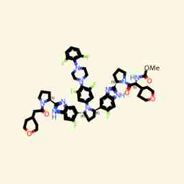 COC(=O)N[C@H](C(=O)N1CCC[C@H]1c1nc2cc([C@H]3CC[C@H](c4cc5nc([C@@H]6CCCN6C(=O)CC6CCOCC6)[nH]c5cc4F)N3c3cc(F)c(N4CCN(c5c(F)cccc5F)CC4)c(F)c3)c(F)cc2[nH]1)C1CCOCC1